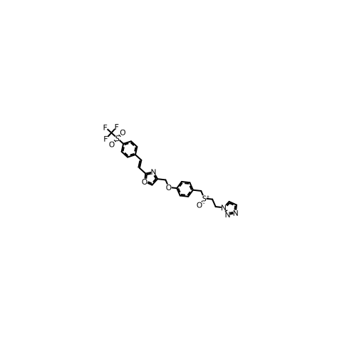 O=S(=O)(c1ccc(C=Cc2nc(COc3ccc(C[S+]([O-])CCn4ccnn4)cc3)co2)cc1)C(F)(F)F